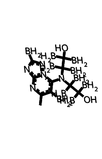 Bc1nc2nc(C)c(B)c(N(C(B)(B)C(B)(B)O)C(B)(B)C(B)(B)O)n2n1